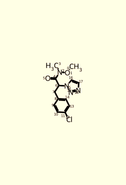 CON(C)C(=O)C(Cc1ccc(Cl)cc1)n1ccnn1